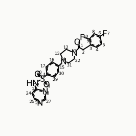 O=C(Cc1ccc(F)cc1F)N1CCN(c2ccc(S(=O)(=O)Nc3ccncn3)cc2)CC1